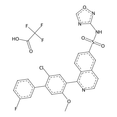 COc1cc(-c2cccc(F)c2)c(Cl)cc1-c1nccc2cc(S(=O)(=O)Nc3ncon3)ccc12.O=C(O)C(F)(F)F